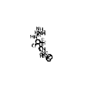 Nc1nc(Nc2cc(Cl)c(-c3ccc(S(=O)(=O)NC45CC6CC(CC(C6)C4)C5)nc3)c(C(F)(F)F)c2)n[nH]1